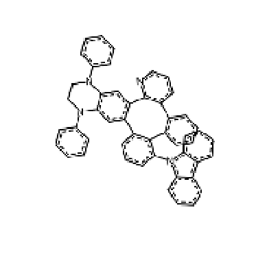 c1ccc(N2CCN(c3ccccc3)c3cc4c(cc32)-c2cccc(-n3c5ccccc5c5ccccc53)c2-c2ccccc2-c2cccnc2-4)cc1